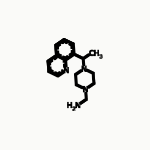 CC(c1cccc2cccnc12)N1CCN(CN)CC1